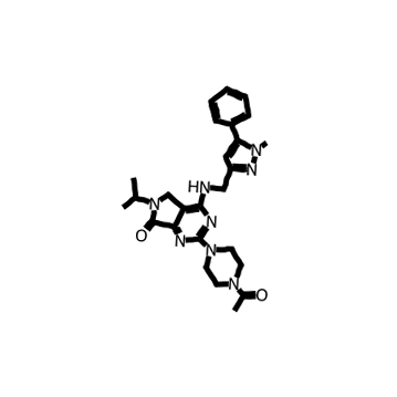 CC(=O)N1CCN(c2nc(NCc3cc(-c4ccccc4)n(C)n3)c3c(n2)C(=O)N(C(C)C)C3)CC1